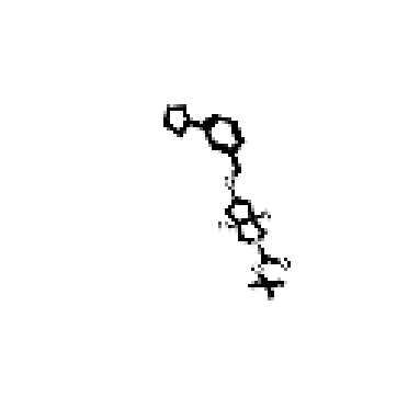 CC(C)(C)OC(=O)N1C[C@H]2C[C@H](OCc3cccc(C4CCCC4)c3)C[C@H]2C1